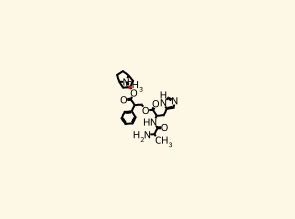 CC(N)C(=O)NC(Cc1cnc[nH]1)C(=O)OCC(C(=O)OC1CC2CCC(C1)N2C)c1ccccc1